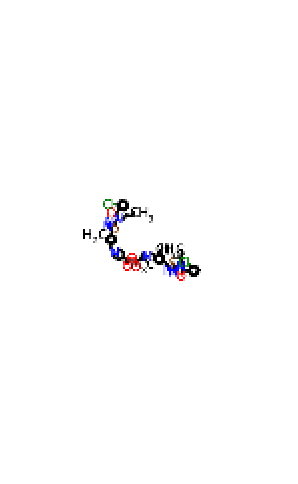 CCCCN(C(=O)c1ccccc1Cl)c1nnc(-c2cc(C)c(CN3CC(C(=O)OC(=O)C4CCN(Cc5ccc(-c6nnc(N(CCCC)C(=O)c7ccccc7Cl)s6)c(C)c5)CC4)C3)c(C)c2)s1